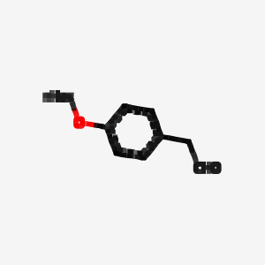 CCCCCCOc1ccc(CC=O)cc1